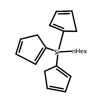 CCCCCC[Si](C1=CC=CC1)(C1=CC=CC1)C1=CC=CC1